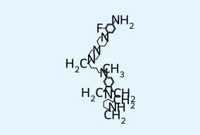 C=C1CCC(n2c(=C)c3ccc(N(C)CCCC(=C)N4CCN(C5CCN(c6ccc(N)cc6F)CC5)CC4)cc3c2=C)C(=C)N1